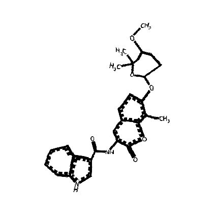 COC1CCC(Oc2ccc3cc(NC(=O)c4c[nH]c5ccccc45)c(=O)oc3c2C)OC1(C)C